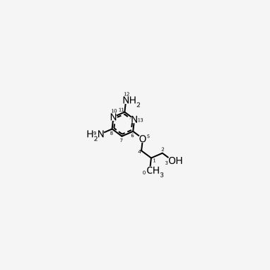 CC(CO)COc1cc(N)nc(N)n1